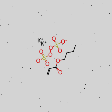 C=CC(=O)OCCCC.O=S(=O)([O-])OOS(=O)(=O)[O-].[K+].[K+]